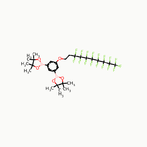 CC1(C)OB(c2cc(OCCC(F)(F)C(F)(F)C(F)(F)C(F)(F)C(F)(F)C(F)(F)C(F)(F)C(F)(F)F)cc(B3OC(C)(C)C(C)(C)O3)c2)OC1(C)C